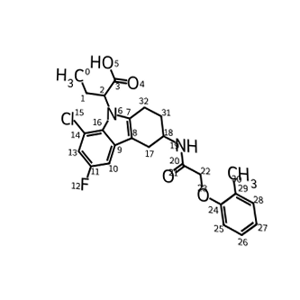 CCC(C(=O)O)n1c2c(c3cc(F)cc(Cl)c31)CC(NC(=O)COc1ccccc1C)CC2